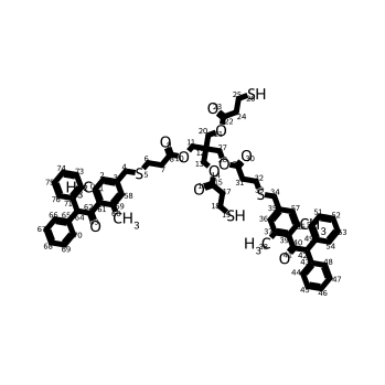 Cc1cc(CSCCC(=O)OCC(COC(=O)CCS)(COC(=O)CCS)COC(=O)CCSCc2cc(C)c(C(=O)C(c3ccccc3)c3ccccc3)c(C)c2)cc(C)c1C(=O)C(c1ccccc1)c1ccccc1